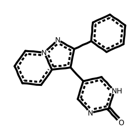 O=c1ncc(-c2c(-c3ccccc3)nn3ccccc23)c[nH]1